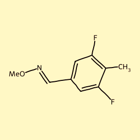 CO/N=C/c1cc(F)c(C)c(F)c1